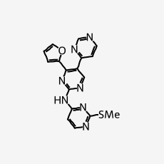 CSc1nccc(Nc2ncc(-c3ccncn3)c(-c3ccco3)n2)n1